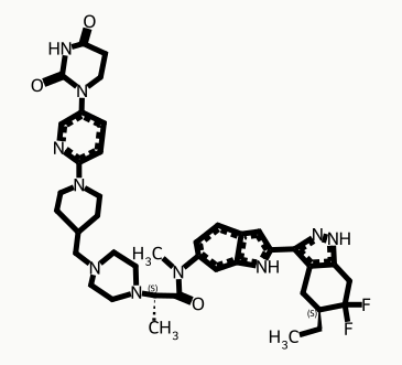 CC[C@H]1Cc2c(-c3cc4ccc(N(C)C(=O)[C@H](C)N5CCN(CC6CCN(c7ccc(N8CCC(=O)NC8=O)cn7)CC6)CC5)cc4[nH]3)n[nH]c2CC1(F)F